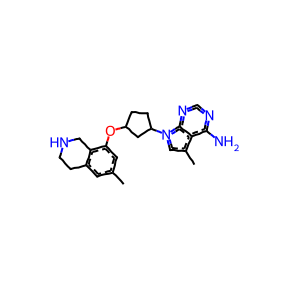 Cc1cc2c(c(OC3CCC(n4cc(C)c5c(N)ncnc54)C3)c1)CNCC2